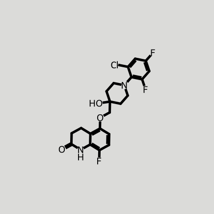 O=C1CCc2c(OCC3(O)CCN(c4c(F)cc(F)cc4Cl)CC3)ccc(F)c2N1